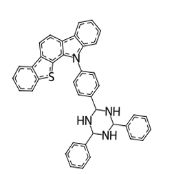 c1ccc(C2NC(c3ccccc3)NC(c3ccc(-n4c5ccccc5c5ccc6c7ccccc7sc6c54)cc3)N2)cc1